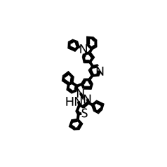 C1=C(c2ccccc2)SC2=C(c3ccccc3)N=C(n3c4ccc(-c5cncc(-c6ccc7c(c6)c6ccccc6n7-c6ccccc6)c5)cc4c4c5ccccc5ccc43)NC12